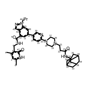 Cc1cc(C)c(CNC(=O)c2cc(-c3ccc(N4CCN(CCC(=O)NC56CC7CC(CC(C7)C5)C6)CC4)nc3)cc3c2cnn3C(C)C)c(=O)[nH]1